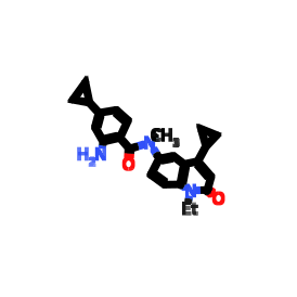 CCn1c(=O)cc(C2CC2)c2cc(N(C)C(=O)c3ccc(C4CC4)cc3N)ccc21